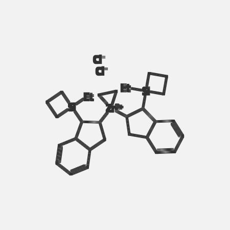 CC[Si]1(C2C3C=CC=CC3C[CH]2[Zr+2]2([CH]3CC4C=CC=CC4C3[Si]3(CC)CCC3)[CH2][CH2]2)CCC1.[Cl-].[Cl-]